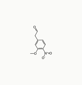 COc1cc(CC=O)ccc1[N+](=O)[O-]